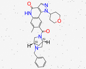 Cc1cc2[nH]c(=O)c3cnn(C4CCOCC4)c3c2cc1C(=O)N1C[C@@H]2C[C@H]1CN2Cc1ccccc1